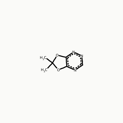 CC1(C)Oc2ncnnc2O1